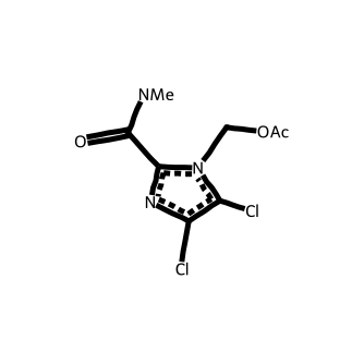 CNC(=O)c1nc(Cl)c(Cl)n1COC(C)=O